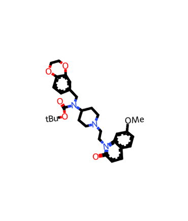 COc1ccc2ccc(=O)n(CCN3CCC(N(Cc4ccc5c(c4)OCCO5)C(=O)OC(C)(C)C)CC3)c2c1